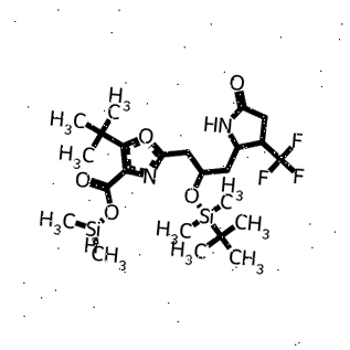 C[SiH](C)OC(=O)c1nc(CC(CC2NC(=O)CC2C(F)(F)F)O[Si](C)(C)C(C)(C)C)oc1C(C)(C)C